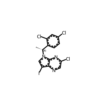 C[C@H](c1ccc(Cl)cc1Cl)n1cc(I)c2ncc(Cl)nc21